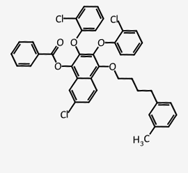 Cc1cccc(CCCCOc2c(Oc3ccccc3Cl)c(Oc3ccccc3Cl)c(OC(=O)c3ccccc3)c3cc(Cl)ccc23)c1